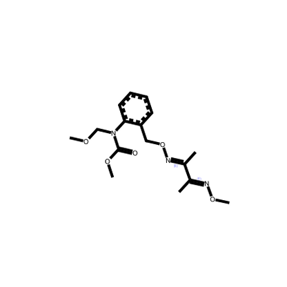 COCN(C(=O)OC)c1ccccc1CO/N=C(C)/C(C)=N/OC